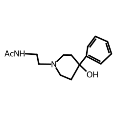 CC(=O)NCCN1CCC(O)(c2ccccc2)CC1